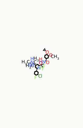 COc1cc(C(=O)NCC(O)(c2cc(C(C)(C)NC(C)=N)cc(-c3ccc(F)c(Cl)c3)n2)C(F)(F)F)ccc1OC1CC1